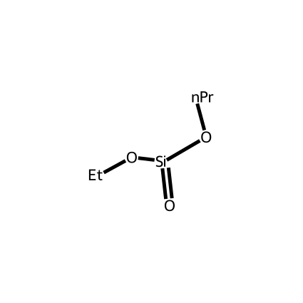 CCCO[Si](=O)OCC